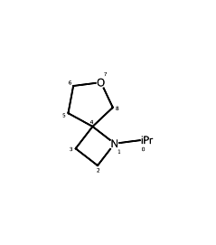 CC(C)N1CCC12CCOC2